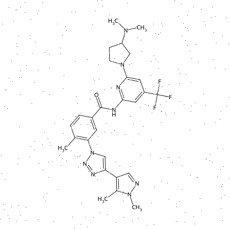 Cc1ccc(C(=O)Nc2cc(C(F)(F)F)cc(N3CCC(N(C)C)C3)n2)cc1-n1cc(-c2cnn(C)c2C)nn1